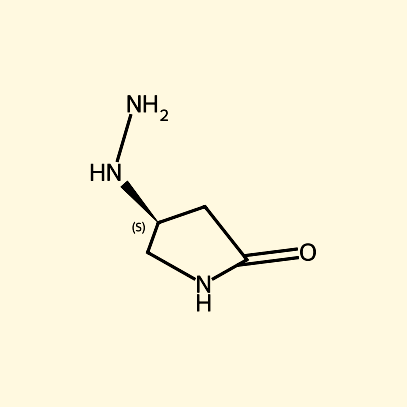 NN[C@@H]1CNC(=O)C1